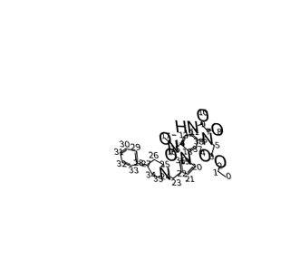 CCOC(=O)Cn1c(=O)c(=O)[nH]c2cc([N+](=O)[O-])c(-n3ccc(CN4CCC(c5ccccc5)CC4)c3)cc21